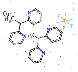 CC(c1ccccn1)c1ccccn1.CC(c1ccccn1)c1ccccn1.F[P-](F)(F)(F)(F)F.[Cu+]